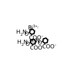 NOc1ccccc1C(=O)[O-].NOc1ccccc1C(=O)[O-].NOc1ccccc1C(=O)[O-].[Bi+3]